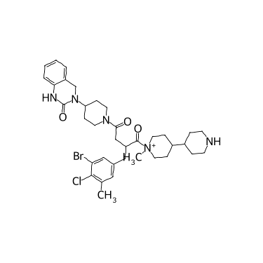 Cc1cc(CC(CC(=O)N2CCC(N3Cc4ccccc4NC3=O)CC2)C(=O)[N+]2(C)CCC(C3CCNCC3)CC2)cc(Br)c1Cl